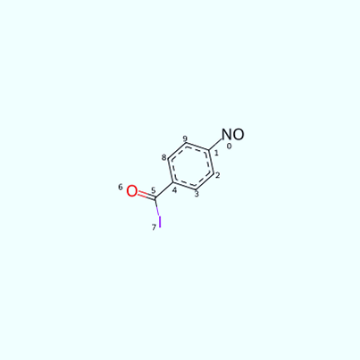 O=Nc1ccc(C(=O)I)cc1